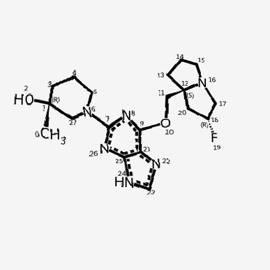 C[C@@]1(O)CCCN(c2nc(OC[C@@]34CCCN3C[C@H](F)C4)c3nc[nH]c3n2)C1